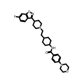 O=C(NC1CCC(CCN2CCC(c3noc4cc(F)ccc34)CC2)CC1)c1ccc(N2CCOCC2)cc1